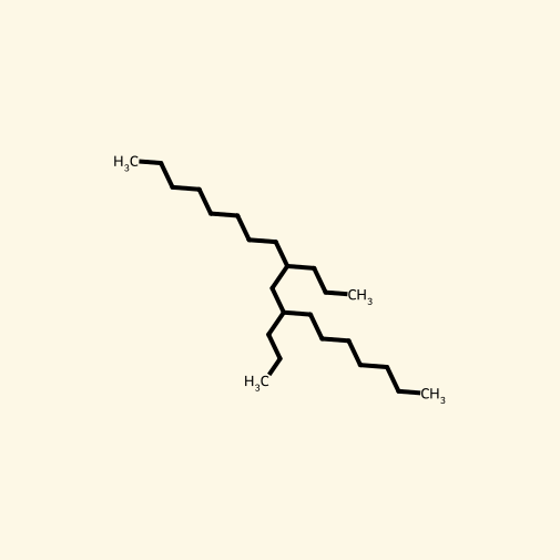 CCCCCCCCC(CCC)CC(CCC)CCCCCCC